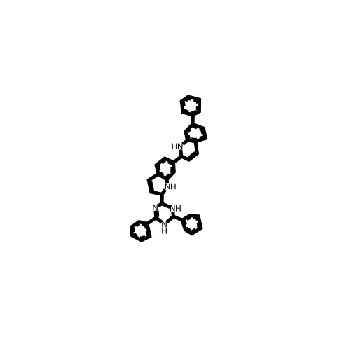 C1=CC(c2ccc3c(c2)NC(C2N=C(c4ccccc4)NC(c4ccccc4)N2)C=C3)Nc2cc(-c3ccccc3)ccc21